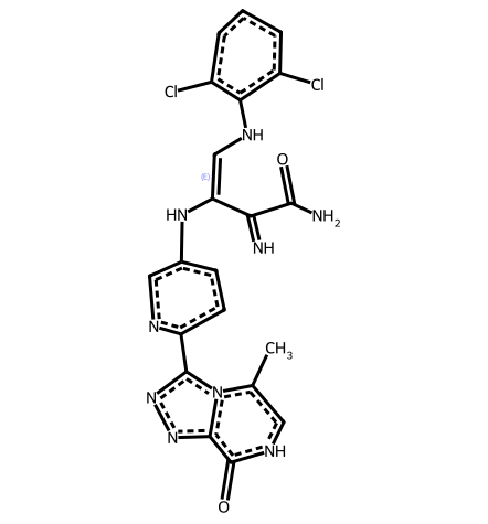 Cc1c[nH]c(=O)c2nnc(-c3ccc(N/C(=C/Nc4c(Cl)cccc4Cl)C(=N)C(N)=O)cn3)n12